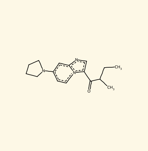 CCC(C)C(=O)c1cnc2cc(N3CCCC3)ccn12